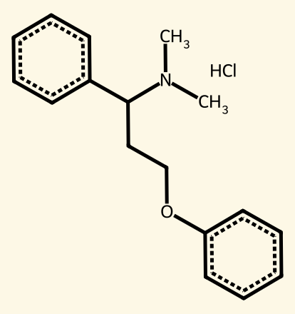 CN(C)C(CCOc1ccccc1)c1ccccc1.Cl